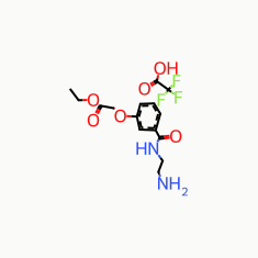 CCOC(=O)COc1cccc(C(=O)NCCN)c1.O=C(O)C(F)(F)F